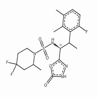 Cc1ccc(F)c(C(C)[C@H](NS(=O)(=O)N2CCC(F)(F)CC2C)c2n[nH]c(=O)o2)c1C